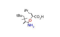 C/C(=C\CC(C)C)C(=O)O.C=C(C(N)=O)C(C)(C)CC(C)(C)C